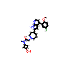 COc1ccc(F)cc1-c1ccnc2[nH]c(C3=CCCN(CC(=O)N(C)C4CC(O)C4)CC3)cc12